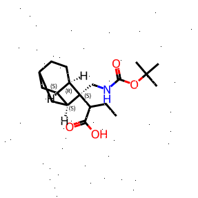 CCC(C(=O)O)[C@]1(CNC(=O)OC(C)(C)C)[C@@H]2CCC3C[C@@H]2[C@@H]1C3